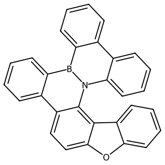 c1ccc2c(c1)B1c3ccccc3-c3ccc4oc5ccccc5c4c3N1c1ccccc1-2